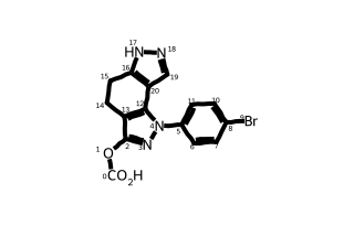 O=C(O)Oc1nn(-c2ccc(Br)cc2)c2c1CCc1[nH]ncc1-2